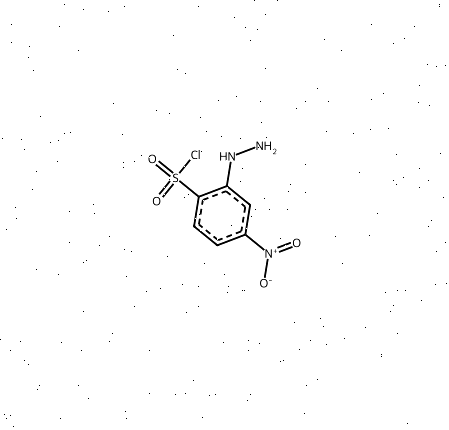 NNc1cc([N+](=O)[O-])ccc1S(=O)(=O)Cl